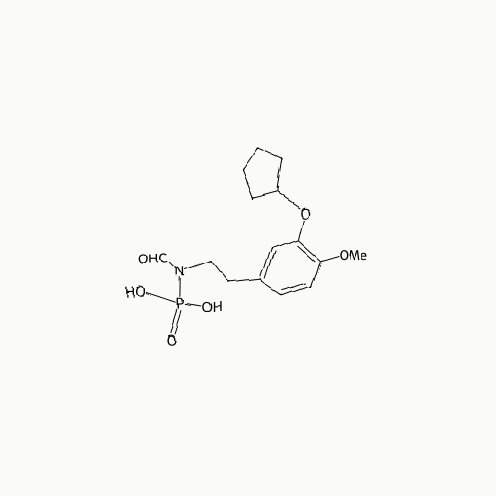 COc1ccc(CCN(C=O)P(=O)(O)O)cc1OC1CCCC1